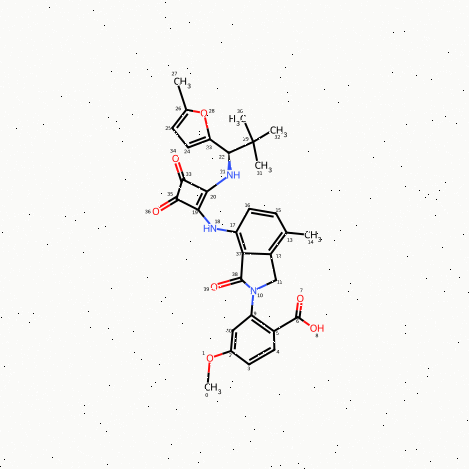 COc1ccc(C(=O)O)c(N2Cc3c(C)ccc(Nc4c(N[C@@H](c5ccc(C)o5)C(C)(C)C)c(=O)c4=O)c3C2=O)c1